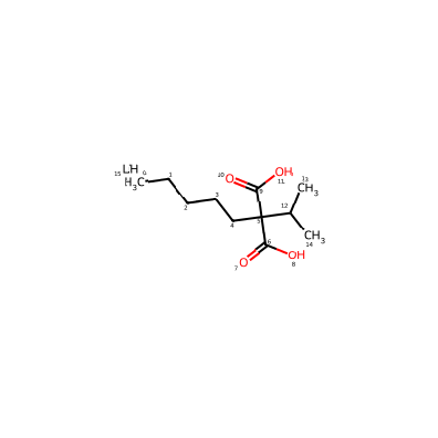 CCCCCC(C(=O)O)(C(=O)O)C(C)C.[LiH]